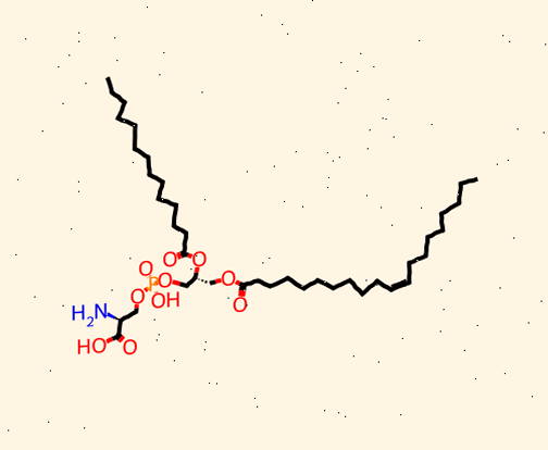 CCCCCCCC/C=C\CCCCCCCCCC(=O)OC[C@H](COP(=O)(O)OC[C@H](N)C(=O)O)OC(=O)CCCCCCCCCCCCC